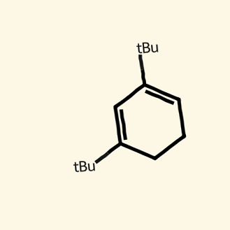 CC(C)(C)C1=CCCC(C(C)(C)C)=C1